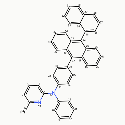 CC(C)c1cccc(N(c2ccccc2)c2ccc(-c3c4ccccc4c(-c4cccc5ccccc45)c4ccccc34)cc2)n1